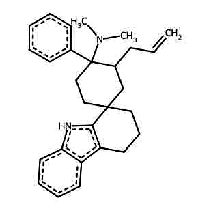 C=CCC1CC2(CCCc3c2[nH]c2ccccc32)CCC1(c1ccccc1)N(C)C